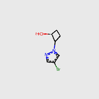 O[C@H]1CCC1n1cc(Br)cn1